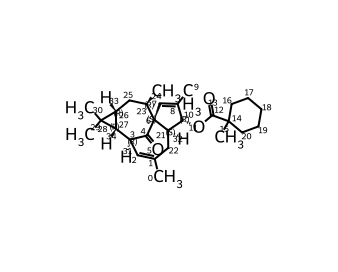 CC1=C[C@@H]2C(=O)[C@]3(C=C(C)[C@H](OC(=O)C4(C)CCCCC4)[C@H]3C1)[C@H](C)C[C@@H]1[C@H]2C1(C)C